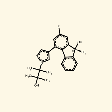 CC(C)(O)C(C)(C)n1cc(-c2cc(F)cc3c2-c2ccccc2[C@]3(O)C(F)(F)F)cn1